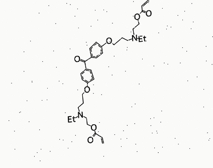 C=CC(=O)OCCN(CC)CCCOc1ccc(C(=O)c2ccc(OCCCN(CC)CCOC(=O)C=C)cc2)cc1